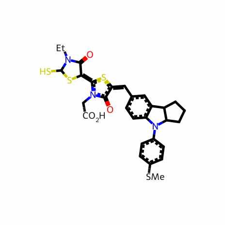 CCN1C(=O)/C(=c2\s/c(=C/c3ccc4c(c3)C3CCCC3N4c3ccc(SC)cc3)c(=O)n2CC(=O)O)SC1S